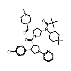 CN1CCN(C(=O)[C@@H]2C[C@H](N(C(=O)C(C)(C)C)C3CCC(C)(C)CC3)CN2C(=O)[C@@H]2CN(c3ccccn3)C[C@H]2c2ccc(Cl)cc2)CC1